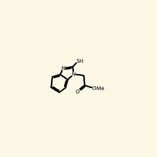 COC(=O)Cn1c(S)nc2ccccc21